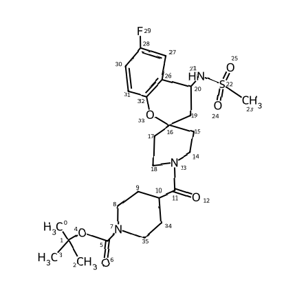 CC(C)(C)OC(=O)N1CCC(C(=O)N2CCC3(CC2)CC(NS(C)(=O)=O)c2cc(F)ccc2O3)CC1